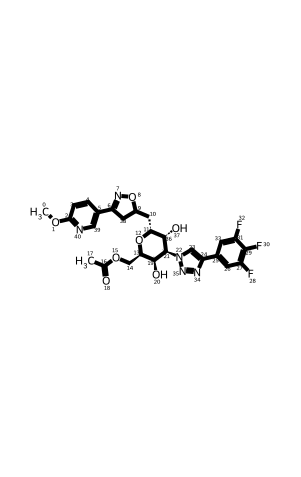 COc1ccc(C2=NOC(C[C@H]3O[C@H](COC(C)=O)[C@H](O)[C@H](n4cc(-c5cc(F)c(F)c(F)c5)nn4)[C@H]3O)C2)cn1